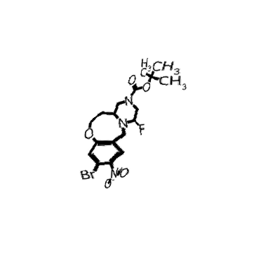 CC(C)(C)OC(=O)N1CC2CCOc3cc(Br)c([N+](=O)[O-])cc3CN2[C@H](F)C1